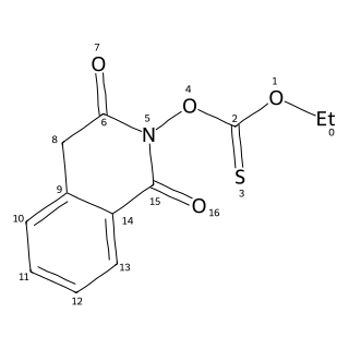 CCOC(=S)ON1C(=O)Cc2ccccc2C1=O